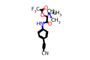 C[N+](C)(C)C(OC(=O)C(F)(F)F)C(=O)Nc1ccc(C#CC#N)cc1